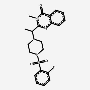 CC(c1nc2ccccc2c(=O)n1C)N1CCN(S(=O)(=O)c2ccccc2F)CC1